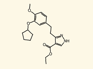 CCOC(=O)c1c[nH]nc1CCc1ccc(OC)c(OC2CCCC2)c1